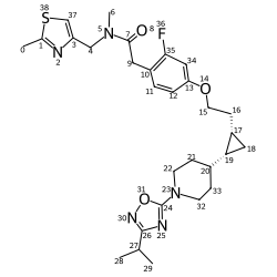 Cc1nc(CN(C)C(=O)Cc2ccc(OCC[C@@H]3C[C@@H]3C3CCN(c4nc(C(C)C)no4)CC3)cc2F)cs1